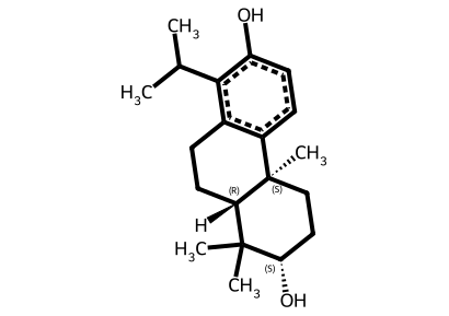 CC(C)c1c(O)ccc2c1CC[C@H]1C(C)(C)[C@@H](O)CC[C@]21C